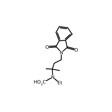 CCN(C(=O)O)C(C)(C)CCN1C(=O)c2ccccc2C1=O